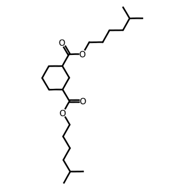 CC(C)CCCCOC(=O)C1CCCC(C(=O)OCCCCC(C)C)C1